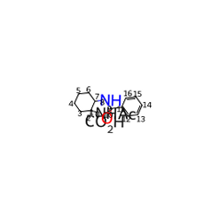 CC(=O)NC1(C(=O)O)CCCCC1NC(=O)c1ccccc1